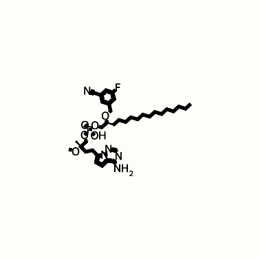 CCCCCCCCCCCCCC[C@@H](COP(=O)(O)OC[C@](C)(CCc1ccc2c(N)ncnn12)OC)OCc1cc(F)cc(C#N)c1